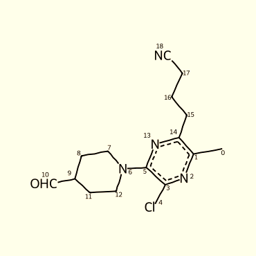 Cc1nc(Cl)c(N2CCC(C=O)CC2)nc1CCCC#N